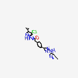 CC/C=C(\C=N/C)Nc1ncc(-c2ccc(CC(=O)Nc3cc(Cl)c(C4CC4)cn3)cc2)cn1